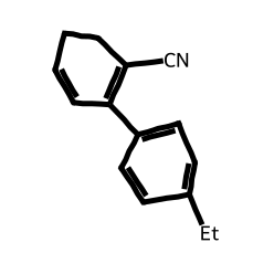 CCc1ccc(C2=C(C#N)CCC=C2)cc1